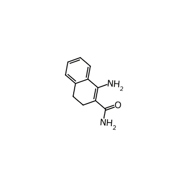 NC(=O)C1=C(N)c2ccccc2CC1